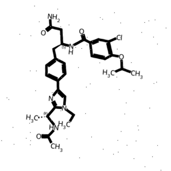 CCn1cc(-c2ccc(C[C@@H](CC(N)=O)NC(=O)c3ccc(OC(C)C)c(Cl)c3)cc2)nc1[C@@H](C)NC(C)=O